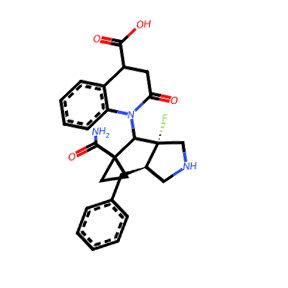 NC(=O)C1(C(N2C(=O)CC(C(=O)O)c3ccccc32)[C@@]2(F)CNC[C@H]2Cc2ccccc2)CC1